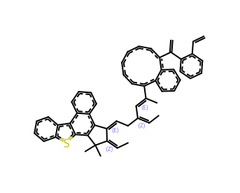 C=Cc1ccccc1C(=C)c1ccccccc(/C(C)=C/C(=C\C)C/C=C2\C(=C/C)C(C)(C)c3c2c2ccccc2c2c3sc3ccccc32)c2ccccc12